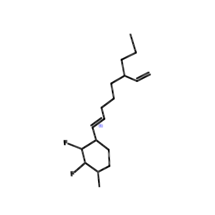 C=CC(CCC)CCC/C=C/C1CCC(C)C(F)C1F